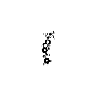 CC(C)(C)OC(=O)N1CCN2C(COc3ccc(C(=O)Nc4cc(F)c(F)c(F)c4)cc3S2(=O)=O)C1